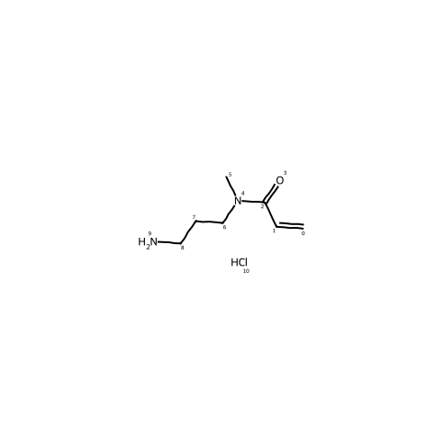 C=CC(=O)N(C)CCCN.Cl